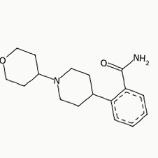 NC(=O)c1ccccc1C1CCN(C2CCOCC2)CC1